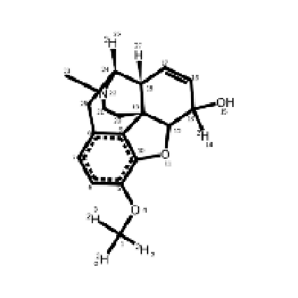 [2H]C([2H])([2H])Oc1ccc2c3c1OC1C([2H])(O)C=C[C@@H]4[C@@]31CCN(C)[C@]4([2H])C2